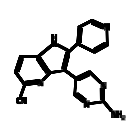 N#Cc1ccc2[nH]c(-c3ccncc3)c(-c3cnc(N)nc3)c2n1